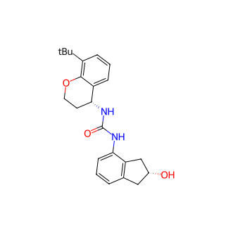 CC(C)(C)c1cccc2c1OCC[C@H]2NC(=O)Nc1cccc2c1C[C@H](O)C2